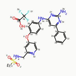 CCS(=O)(=O)NCc1cc(Oc2ccc(Nc3cc(-c4ccccc4)nc(N)n3)cc2)ccn1.O=C(O)C(F)(F)F